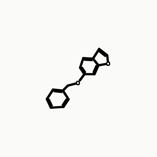 c1ccc(COc2ccc3ccoc3c2)cc1